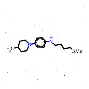 COCCCCNc1ccc(N2CCC(C(F)(F)F)CC2)cc1